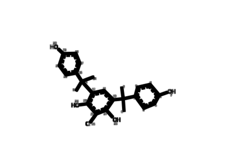 CC(C)(c1ccc(O)cc1)c1cc(C(C)(C)c2ccc(O)cc2)c(O)c(Cl)c1O